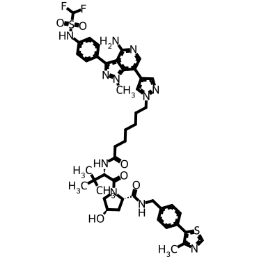 Cc1ncsc1-c1ccc(CNC(=O)[C@@H]2C[C@@H](O)CN2C(=O)[C@@H](NC(=O)CCCCCCn2cc(-c3cnc(N)c4c(-c5ccc(NS(=O)(=O)C(F)F)cc5)nn(C)c34)cn2)C(C)(C)C)cc1